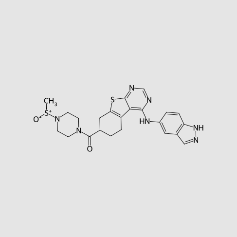 C[S+]([O-])N1CCN(C(=O)C2CCc3c(sc4ncnc(Nc5ccc6[nH]ncc6c5)c34)C2)CC1